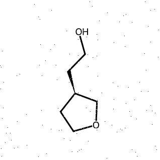 OCC[C@@H]1CCOC1